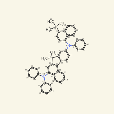 CC1(C)c2cc(N(c3ccccc3)c3ccc([Si](C)(C)C)c4ccccc34)ccc2-c2c1cc(N(c1ccccc1)c1ccccc1)c1ccccc21